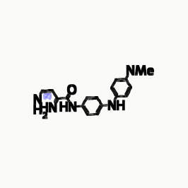 CNc1ccc(Nc2ccc(NC(=O)C(=N)/C=C\N)cc2)cc1